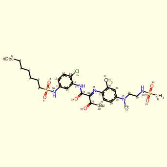 CCCCCCCCCCCCCCCCS(=O)(=O)Nc1ccc(Cl)c(NC(=O)C(=Nc2ccc(N(CC)CCNS(C)(=O)=O)cc2C)C(=O)C(C)(C)C)c1